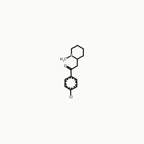 CN1CCCCC1CC(=O)c1ccc(Cl)cc1